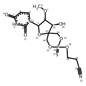 COC1C(n2ccc(=O)[nH]c2=O)OC2(COP(=S)(OCCC#N)OC2)[C@@H]1O